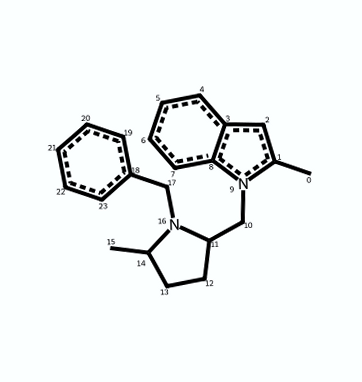 Cc1cc2ccccc2n1CC1CCC(C)N1Cc1ccccc1